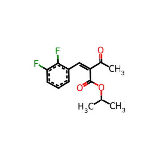 CC(=O)C(=Cc1cccc(F)c1F)C(=O)OC(C)C